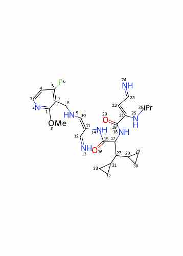 COc1nccc(F)c1CN/C=C(\C=N)NC(=O)C(NC(=O)/C(=C/C=N)NC(C)C)C(C1CC1)C1CC1